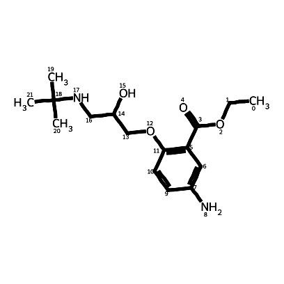 CCOC(=O)c1cc(N)ccc1OCC(O)CNC(C)(C)C